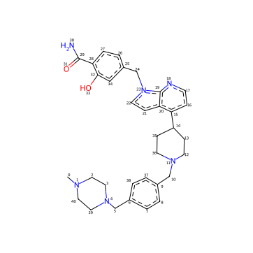 CN1CCN(Cc2ccc(CN3CCC(c4ccnc5c4ccn5Cc4ccc(C(N)=O)c(O)c4)CC3)cc2)CC1